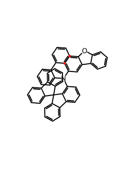 c1ccc(-c2ccccc2N(c2ccc3oc4ccccc4c3c2)c2cccc3c2C2(c4ccccc4-c4ccccc42)c2ccccc2-3)cc1